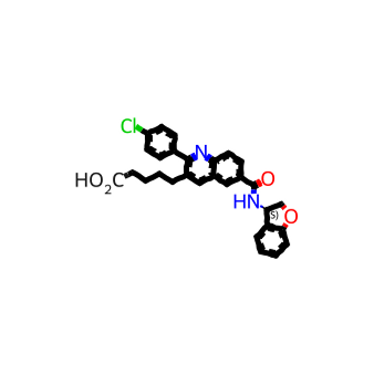 O=C(O)CCCCc1cc2cc(C(=O)N[C@@H]3COc4ccccc43)ccc2nc1-c1ccc(Cl)cc1